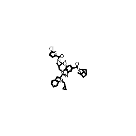 COc1cc(C(=O)N2CC3CC4CC2[C@H]43)cc2nc(-c3cc4ccccc4n3CC3CC3)n(CC3CN(C(=O)c4ccc(Cl)s4)C3)c12